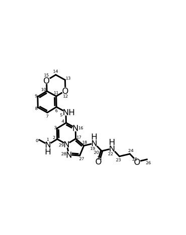 CNc1cc(Nc2cccc3c2OCCO3)nc2c(NC(=O)NCCOC)cnn12